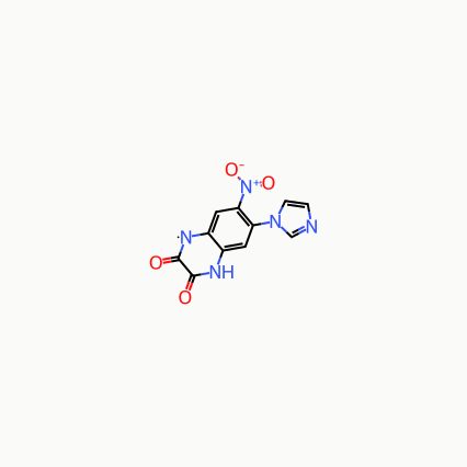 O=C1[N]c2cc([N+](=O)[O-])c(-n3ccnc3)cc2NC1=O